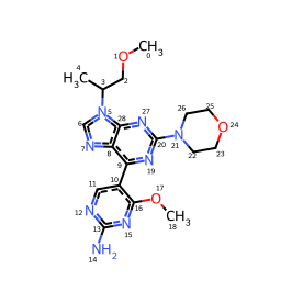 COCC(C)n1cnc2c(-c3cnc(N)nc3OC)nc(N3CCOCC3)nc21